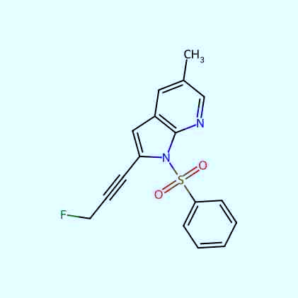 Cc1cnc2c(c1)cc(C#CCF)n2S(=O)(=O)c1ccccc1